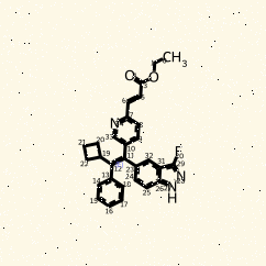 CCOC(=O)C=Cc1ccc(/C(=C(/c2ccccc2)C2CCC2)c2ccc3[nH]nc(F)c3c2)cn1